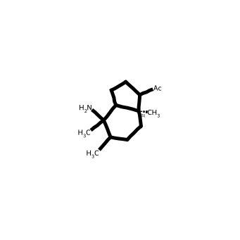 CC(=O)C1CCC2C(C)(N)C(C)CC[C@]12C